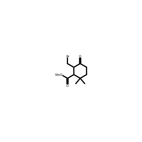 COC(=O)C1C(CBr)C(=O)CCC1(C)C